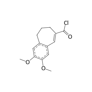 COc1cc2c(cc1OC)CCCC(C(=O)Cl)=C2